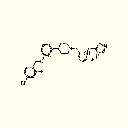 CC(C)n1cncc1C[SH]1C=CC=C1CN1CCC(c2cccc(OCc3ccc(Cl)cc3F)n2)CC1